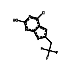 Oc1nc(Cl)c2cc(CC(F)(F)F)sc2n1